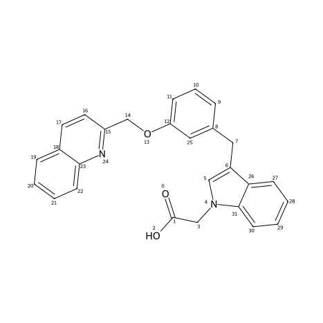 O=C(O)Cn1cc(Cc2cccc(OCc3ccc4ccccc4n3)c2)c2ccccc21